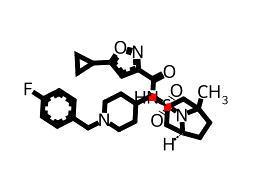 CC12CC[C@@H](C[C@@H](NC(=O)c3cc(C4CC4)on3)C1)N2S(=O)(=O)CC1CCN(Cc2ccc(F)cc2)CC1